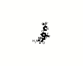 CN(C(=N)N)C(=O)c1cc2c(C(F)(F)F)cc(Oc3cncc([N+](=O)[O-])c3)cc2[nH]1